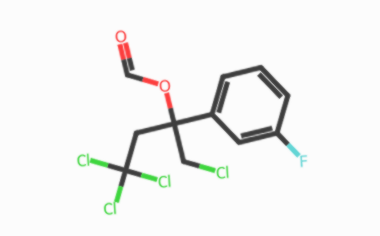 O=COC(CCl)(CC(Cl)(Cl)Cl)c1cccc(F)c1